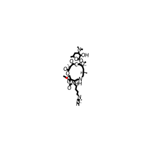 CC[C@H]1OC(=O)[C@H](C)C(=O)C[C@@H](O[C@@H]2OC(C)CC(N(C)C)C2O)[C@@](C)(OC)C[C@@H](C)CN[C@H](C)[C@H]2N(CCCCN=[N+]=[N-])C(=O)O[C@]12C